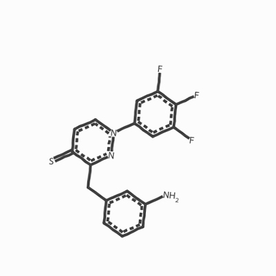 Nc1cccc(Cc2nn(-c3cc(F)c(F)c(F)c3)ccc2=S)c1